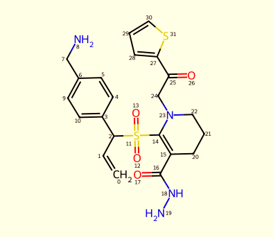 C=CC(c1ccc(CN)cc1)S(=O)(=O)C1=C(C(=O)NN)CCCN1CC(=O)c1cccs1